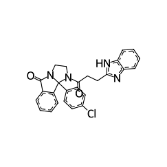 O=C(CCc1nc2ccccc2[nH]1)N1CCN2C(=O)c3ccccc3C12c1ccc(Cl)cc1